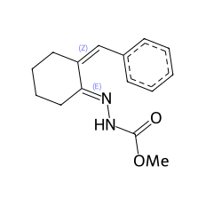 COC(=O)N/N=C1\CCCC\C1=C\c1ccccc1